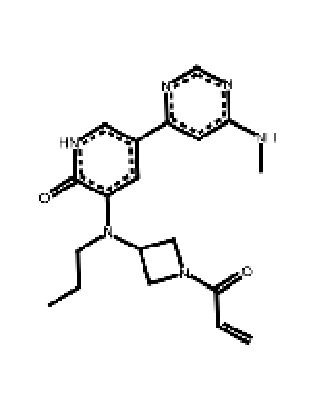 C=CC(=O)N1CC(N(CCC)c2cc(-c3cc(NC)ncn3)c[nH]c2=O)C1